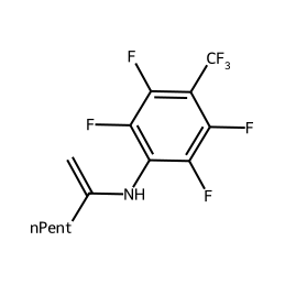 C=C(CCCCC)Nc1c(F)c(F)c(C(F)(F)F)c(F)c1F